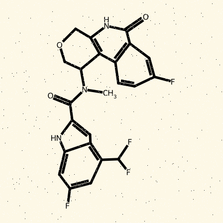 CN(C(=O)c1cc2c(C(F)F)cc(F)cc2[nH]1)C1COCc2[nH]c(=O)c3cc(F)ccc3c21